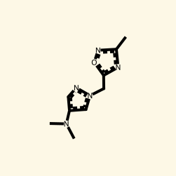 Cc1noc(Cn2cc(N(C)C)cn2)n1